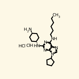 CCCCCCNc1nc(N[C@H]2CC[C@H](N)CC2)nc2c1ncn2C1CCCC1.Cl.Cl